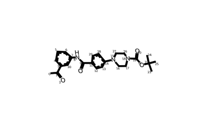 CC(=O)c1cccc(NC(=O)c2ccc(N3CCN(C(=O)OC(C)(C)C)CC3)cc2)c1